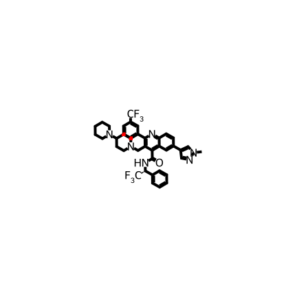 Cn1cc(-c2ccc3nc(-c4cccc(C(F)(F)F)c4)c(CN4CCC(N5CCCCC5)CC4)c(C(=O)N[C@H](c4ccccc4)C(F)(F)F)c3c2)cn1